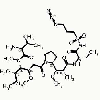 CC[C@H](NC(=O)[C@H](C)[C@@H](OC)[C@@H]1CCCN1C(=O)C[C@@H](OC)[C@H]([C@@H](C)CC)N(C)C(=O)[C@@H](N)C(C)C)C(=O)NS(=O)(=O)CCCN=[N+]=[N-]